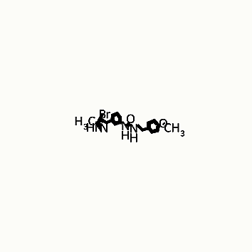 COc1ccc(CCNC(=O)Nc2cccc(-c3n[nH]c(C)c3Br)c2)cc1